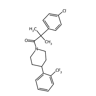 CC(C)(C(=O)N1CCC(c2ccccc2C(F)(F)F)CC1)c1ccc(Cl)cc1